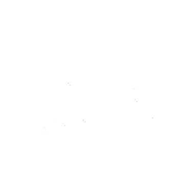 CCNC(=O)Nc1nc2c(F)c(-c3cnn(CC(=O)[O-])c3)cc(-c3ccccn3)c2s1.[Li+]